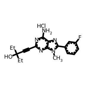 CCC(O)(C#Cc1nc(N)c2nc(-c3cccc(F)c3)n(C)c2n1)CC.Cl